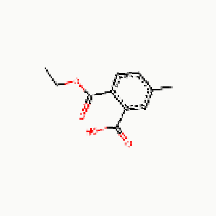 CCOC(=O)c1ccc(C)cc1C(=O)O